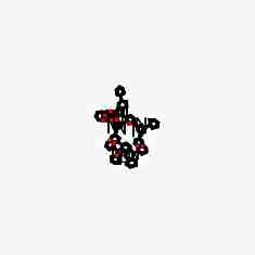 c1ccc(-c2ccc3c(c2)c2cc(-c4ccccc4)ccc2n3-c2ccc(-c3nc(-c4ccccc4)cc(-c4ccccc4)n3)cc2-c2nc(-c3ccccc3)nc(-c3cccc(-c4ccc5c6c4N(c4ccccc4)c4ccccc4B6c4ccccc4N5c4ccccc4)c3)n2)cc1